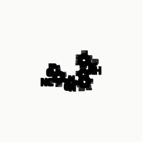 CC(C)Oc1ccc(-c2nc(-c3cccc4c3CCC4N[C@H](C)c3ccccc3)no2)cc1C#N